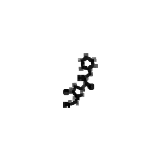 CC(C)CN1CC(C(=O)NCc2ccccc2)CC1=O